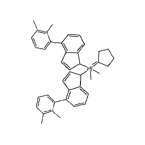 Cc1cccc(-c2cccc3c2C=C[CH]3[Hf]([CH3])([CH3])(=[C]2CCCC2)[CH]2C=Cc3c(-c4cccc(C)c4C)cccc32)c1C